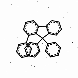 c1ccc(-c2cccc3c2C(c2ccccc2)(c2ccccc2)c2ccccc2-3)cc1